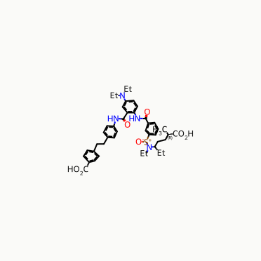 CCC(CC[C@@H](C)C(=O)O)N(CC)[S+]([O-])c1cccc(C(=O)Nc2ccc(N(CC)CC)cc2C(=O)Nc2ccc(CCc3ccc(C(=O)O)cc3)cc2)c1